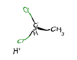 C[SiH](Cl)Cl.[H+]